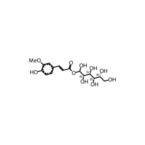 COc1cc(C=CC(=O)OC(O)[C@H](O)[C@@H](O)[C@H](O)[C@H](O)CO)ccc1O